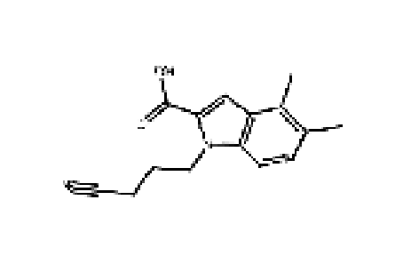 Cc1ccc2c(cc(C(=O)O)n2CCCC#N)c1C